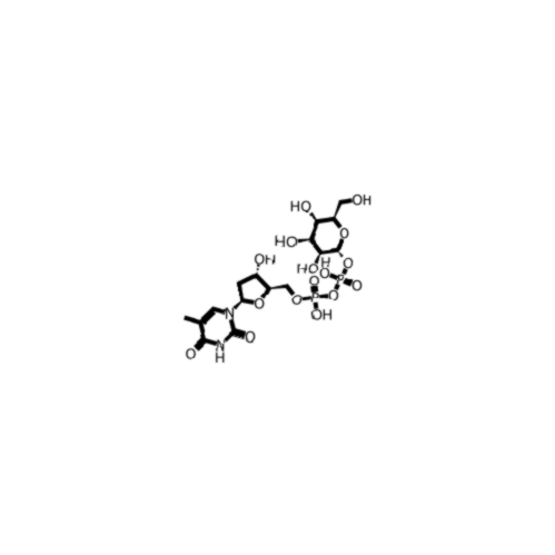 Cc1cn([C@H]2C[C@H](O)[C@@H](COP(=O)(O)OP(=O)(O)O[C@H]3O[C@H](CO)[C@H](O)[C@H](O)[C@@H]3O)O2)c(=O)[nH]c1=O